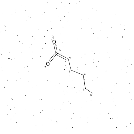 CCCCC=S(=O)=O